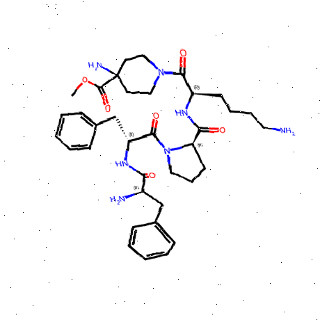 COC(=O)C1(N)CCN(C(=O)[C@@H](CCCCN)NC(=O)[C@H]2CCCN2C(=O)[C@@H](Cc2ccccc2)NC(=O)[C@H](N)Cc2ccccc2)CC1